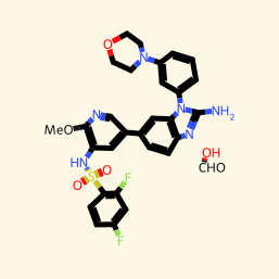 COc1ncc(-c2ccc3nc(N)n(-c4cccc(N5CCOCC5)c4)c3c2)cc1NS(=O)(=O)c1ccc(F)cc1F.O=CO